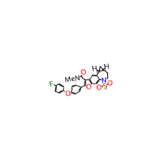 CNC(=O)c1c(-c2ccc(Oc3ccc(F)cc3)cc2)oc2cc3c(cc12)[C@@H]1C[C@@H]1CCN3S(C)(=O)=O